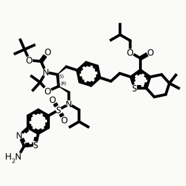 CC(C)COC(=O)c1c(CCc2ccc(C[C@H]3[C@@H](CN(CC(C)C)S(=O)(=O)c4ccc5nc(N)sc5c4)OC(C)(C)N3C(=O)OC(C)(C)C)cc2)sc2c1CC(C)(C)CC2